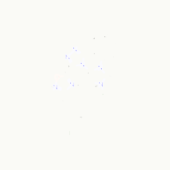 Fc1ccc(-c2noc(-c3nnc4n3C3=CN(Cl)CN3c3ccccc3-4)n2)cc1